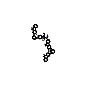 C=Cc1c(/C(=C\C)c2ccc3c(c2)C(C)(C)c2cc4c(cc2-3)c2cccc3c5cc6c(cc5n4c32)C(C)(C)c2ccccc2-6)oc2cc3c4cccc5c6cc7oc8ccccc8c7cc6n(c3cc12)c45